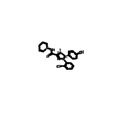 C[C@H]1C(C(=O)NN2CCCCC2)=NN(c2ccccc2Cl)[C@H]1c1ccc(O)cc1